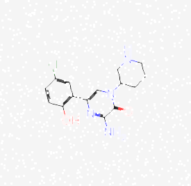 Nc1nc(-c2cc(Cl)ccc2O)cn(C2CCCNC2)c1=O